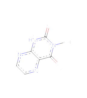 Cn1c(=O)[nH]c2nccnc2c1=O